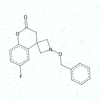 O=C1CC2(CN(OCc3ccccc3)C2)c2cc(F)ccc2O1